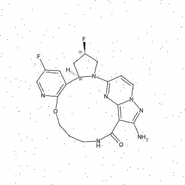 Nc1nn2ccc3nc2c1C(=O)NCCCOc1ncc(F)cc1[C@H]1C[C@@H](F)CN31